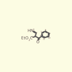 CCOC(=O)C(C=N)C(=O)c1ccccc1